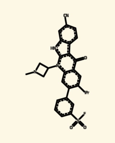 CC(C)c1cc2c(=O)c3c4ccc(C#N)cc4[nH]c3n(C3CN(C)C3)c2cc1-c1cccc(S(=O)(=O)F)c1